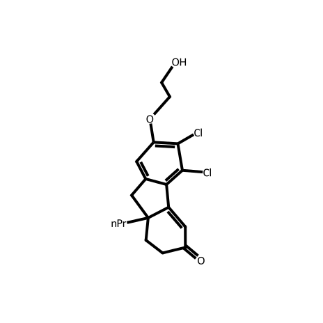 CCCC12CCC(=O)C=C1c1c(cc(OCCO)c(Cl)c1Cl)C2